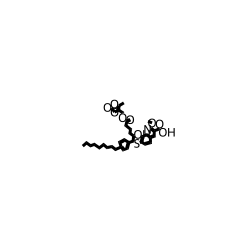 CCCCCCCCCc1ccc(C(Sc2ccc3cc(C(=O)O)c(OC)nc3c2)C(O)CCCC(=O)OCc2oc(=O)oc2C)cc1